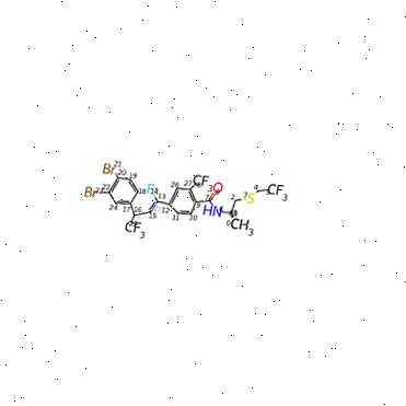 C[C@H](CSCC(F)(F)F)NC(=O)c1ccc(/C(F)=C/C(c2ccc(Br)c(Br)c2)C(F)(F)F)cc1C(F)(F)F